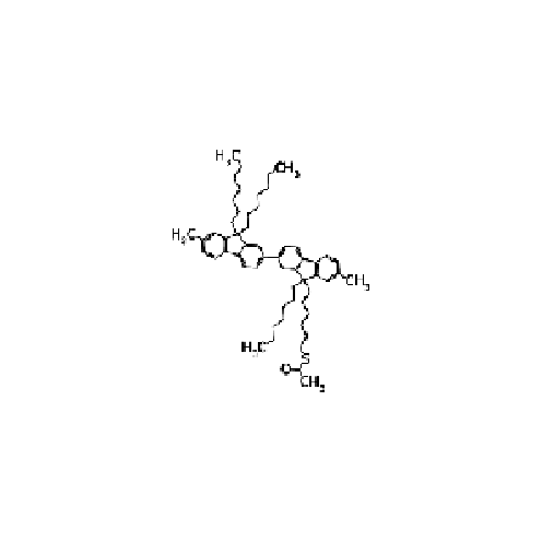 CCCCCCCC1(CCCCCCC)c2cc(C)ccc2-c2ccc(-c3ccc4c(c3)C(CCCCCCC)(CCCCCCSC(C)=O)c3cc(C)ccc3-4)cc21